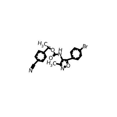 Cc1noc(-c2ccc(Br)cc2)c1NC(=O)O[C@H](C)c1ccc(C#N)cc1